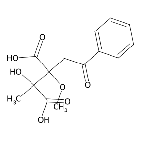 COC(CC(=O)c1ccccc1)(C(=O)O)C(C)(O)C(=O)O